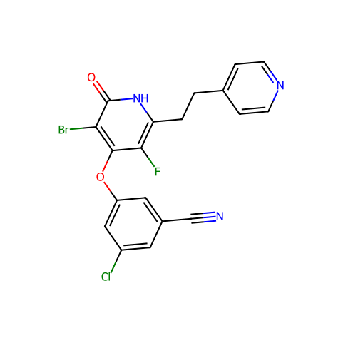 N#Cc1cc(Cl)cc(Oc2c(F)c(CCc3ccncc3)[nH]c(=O)c2Br)c1